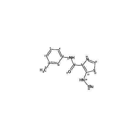 Cc1cccc(NC(=O)c2ncsc2NC(C)(C)C)c1